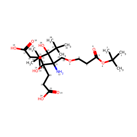 CC(C)(C)OC(=O)CCOCC(N)(C(O)(CCC(=O)O)CCC(=O)O)C(O)(C(C)(C)C)C(C)(C)C